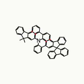 CC1(C)c2ccccc2-c2ccc(N(c3ccccc3-c3ccccc3)c3ccccc3-c3ccc4c(c3)C3(c5ccccc5-c5ccccc53)c3ccccc3-4)cc21